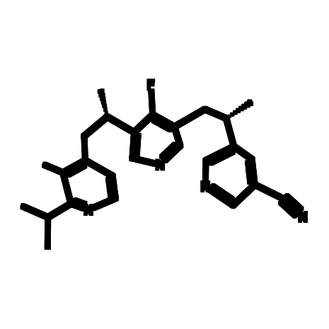 Cc1c(C[C@H](C)c2cncc(C[C@H](C)c3cncc(C#N)c3)c2F)ccnc1C(C)C